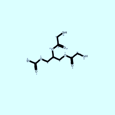 CCC(=O)OCC(COC(=O)[CH2][SrH])OC(=O)[CH2][SrH]